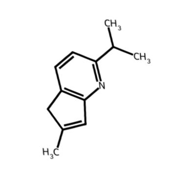 CC1=Cc2nc(C(C)C)ccc2C1